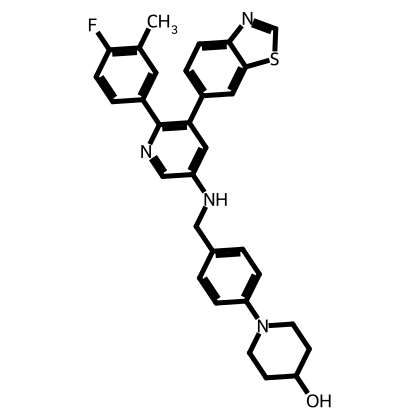 Cc1cc(-c2ncc(NCc3ccc(N4CCC(O)CC4)cc3)cc2-c2ccc3ncsc3c2)ccc1F